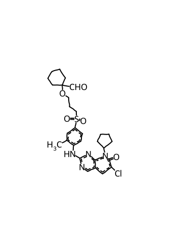 Cc1cc(S(=O)(=O)CCCOC2(C=O)CCCCC2)ccc1Nc1ncc2cc(Cl)c(=O)n(C3CCCC3)c2n1